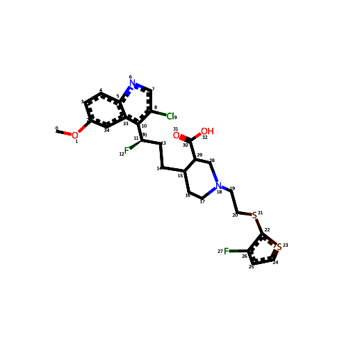 COc1ccc2ncc(Cl)c([C@H](F)CCC3CCN(CCSc4sccc4F)CC3C(=O)O)c2c1